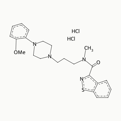 COc1ccccc1N1CCN(CCCN(C)C(=O)c2nsc3ccccc23)CC1.Cl.Cl